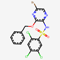 O=S(=O)(Nc1ncc(Br)nc1OCc1ccccc1)c1cc(Cl)c(Cl)cc1Cl